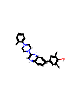 Cc1ccccc1N1CCN(c2cnc3ccc(-c4cc(C)c(O)c(C)c4)cc3n2)CC1